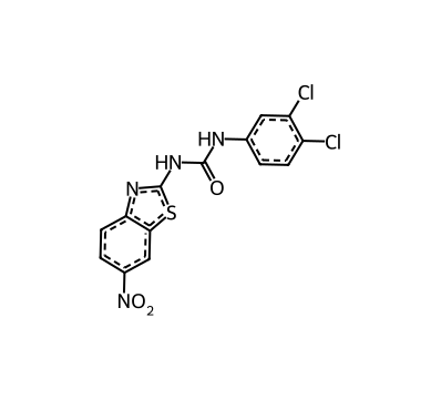 O=C(Nc1ccc(Cl)c(Cl)c1)Nc1nc2ccc([N+](=O)[O-])cc2s1